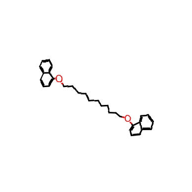 c1ccc2c(OCCCCCCCCCCCOc3cccc4ccccc34)cccc2c1